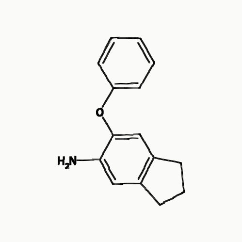 Nc1cc2c(cc1Oc1ccccc1)CCC2